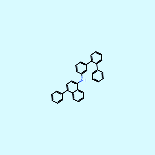 c1ccc(-c2ccccc2-c2cccc(Nc3ccc(-c4ccccc4)c4ccccc34)c2)cc1